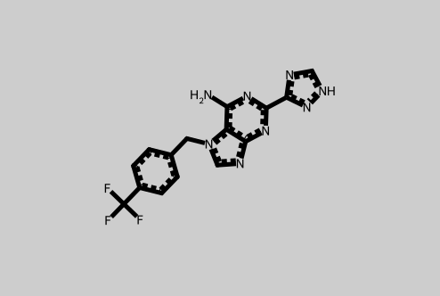 Nc1nc(-c2nc[nH]n2)nc2ncn(Cc3ccc(C(F)(F)F)cc3)c12